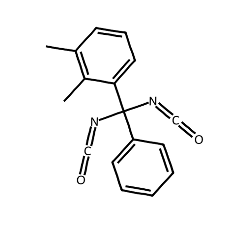 Cc1cccc(C(N=C=O)(N=C=O)c2ccccc2)c1C